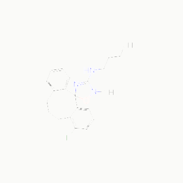 CCCCNC1=NC2(ON1C)c1ccccc1CCCc1c(F)cccc12